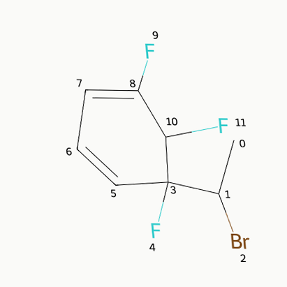 CC(Br)C1(F)C=CC=C(F)C1F